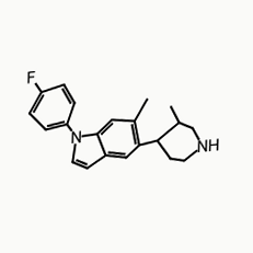 Cc1cc2c(ccn2-c2ccc(F)cc2)cc1C1CCNCC1C